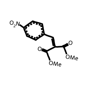 COC(=O)C(=Cc1ccc([N+](=O)[O-])cc1)C(=O)OC